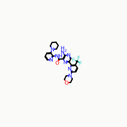 Nc1ncc(-c2nc(N3CCOCC3)ccc2C(F)(F)F)nc1C(=O)Nc1ncccc1N1CCCCC1